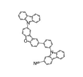 N#Cc1ccc2c3ccccc3n(-c3cccc(-c4ccc5oc6ccc(-n7c8ccccc8c8ccccc87)cc6c5c4)c3)c2c1